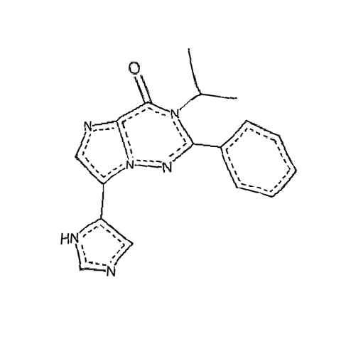 CC(C)n1c(-c2ccccc2)nn2c(-c3cnc[nH]3)cnc2c1=O